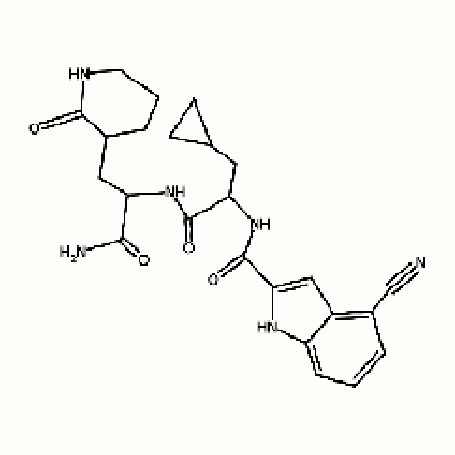 N#Cc1cccc2[nH]c(C(=O)NC(CC3CC3)C(=O)NC(CC3CCCNC3=O)C(N)=O)cc12